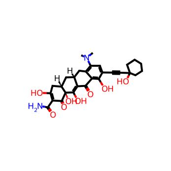 CN(C)c1cc(C#CC2(O)CCCCC2)c(O)c2c1C[C@H]1C[C@H]3CC(O)=C(C(N)=O)C(=O)[C@@]3(O)C(O)=C1C2=O